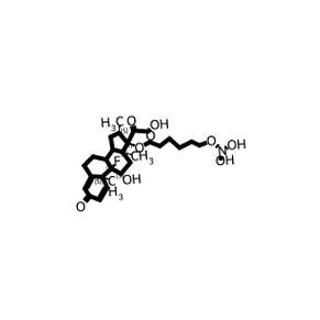 C[C@H]1CC2C3CCC4=CC(=O)C=C[C@]4(C)[C@@]3(F)[C@@H](O)C[C@]2(C)[C@@]1(OC(=O)CCCCCON(O)O)C(=O)CO